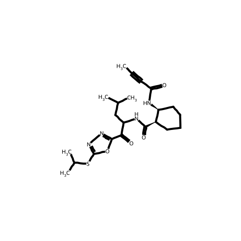 CC#CC(=O)N[C@H]1CCCC[C@H]1C(=O)NC(CC(C)C)C(=O)c1nnc(SC(C)C)o1